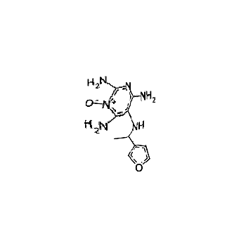 CC(Nc1c(N)nc(N)[n+]([O-])c1N)c1ccoc1